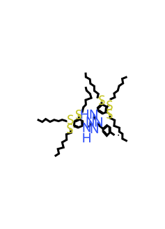 [CH2]c1ccc(-c2nc(Nc3cc(SCCCCCCCC)c(SCCCCCCCC)c(SCCCCCCCC)c3)nc(Nc3cc(SCCCCCCCC)c(SCCCCCCCC)c(SCCCCCCCC)c3)n2)cc1